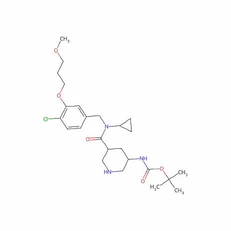 COCCCOc1cc(CN(C(=O)C2CNCC(NC(=O)OC(C)(C)C)C2)C2CC2)ccc1Cl